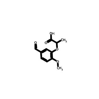 COc1ccc(C=O)cc1OC(C)C(=O)O